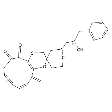 C=C1/C=C\C=C/CC(=O)C(=O)C2=C1OC1(CCCN(C[C@@H](O)Cc3ccccc3)C1)CS2